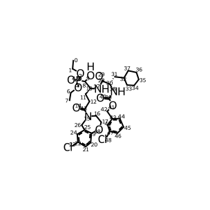 CCOP(=O)(OCC)C(O)[C@H](CCC(=O)N1CCOc2ccc(Cl)cc2C1)NC(=O)[C@H](CC1CCCCC1)NC(=O)OCc1cccc(Cl)c1